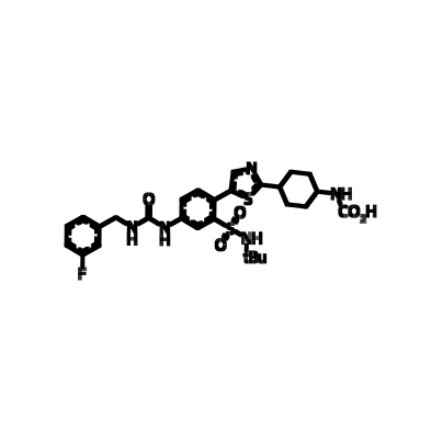 CC(C)(C)NS(=O)(=O)c1cc(NC(=O)NCc2cccc(F)c2)ccc1-c1cnc(C2CCC(NC(=O)O)CC2)s1